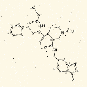 Cn1nnc2cc(CNC(=O)[C@@H]3CN(C(=O)O)CCN3C(=O)C(CCc3ccccc3)NC(=O)OC(C)(C)C)ccc21